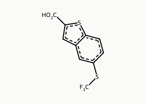 O=C(O)c1cc2cc(SC(F)(F)F)ccc2s1